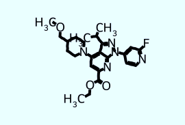 CCOC(=O)c1cc(N2CCC(COC)CC2)c2c(C(C)C)nn(-c3ccnc(F)c3)c2n1